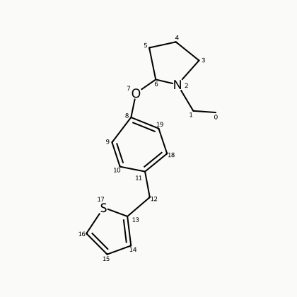 CCN1CCCC1Oc1ccc(Cc2cccs2)cc1